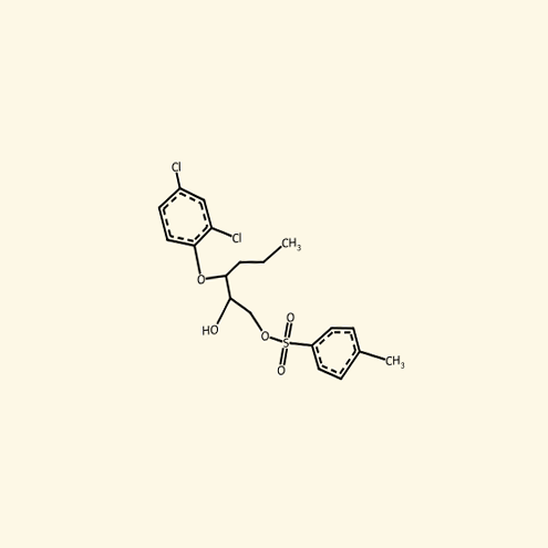 CCCC(Oc1ccc(Cl)cc1Cl)C(O)COS(=O)(=O)c1ccc(C)cc1